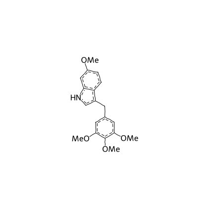 COc1ccc2c(Cc3cc(OC)c(OC)c(OC)c3)c[nH]c2c1